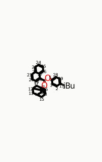 CCC(C)c1ccc(OC(OC23CC4CC(CC(C4)C2)C3)c2cccc3ccccc23)cc1